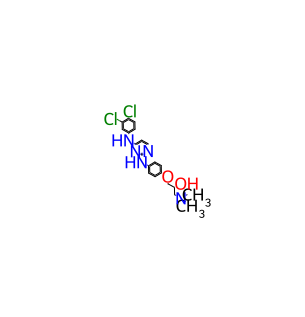 CN(C)CC(O)COc1ccc(Nc2nccc(Nc3ccc(Cl)c(Cl)c3)n2)cc1